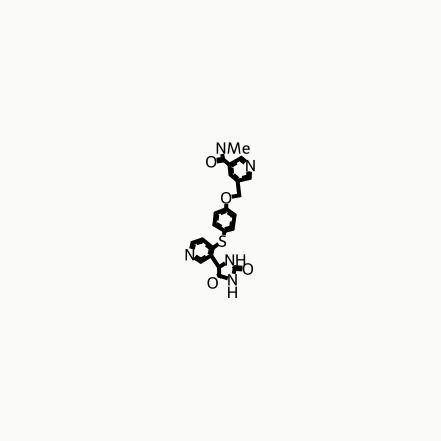 CNC(=O)c1cncc(COc2ccc(Sc3ccncc3C3NC(=O)NC3=O)cc2)c1